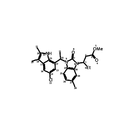 CCC(CC(=O)OC)n1c(=O)n(C(C)c2cc(Cl)cc3c(C)c(C)[nH]c23)c2ccc(C)cc21